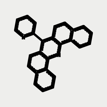 c1ccc(-c2c3ccc4ccccc4c3nc3c2ccc2ccccc23)nc1